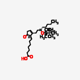 CCCCC[C@@H](CCC1=CCC(=O)[C@@H]1CCCCCCC(=O)O)O[Si](C)(C)C(C)(C)C